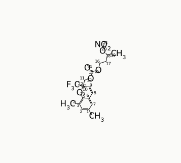 Cc1cc(C)c2c(c1)C=C[C@](COC(=O)OCCC(C)O[N+](=O)[O-])(C(F)(F)F)O2